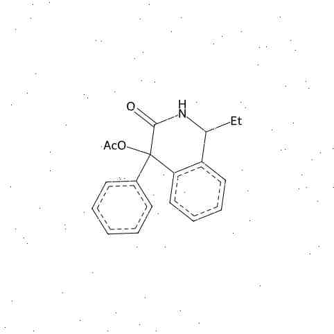 CCC1NC(=O)C(OC(C)=O)(c2ccccc2)c2ccccc21